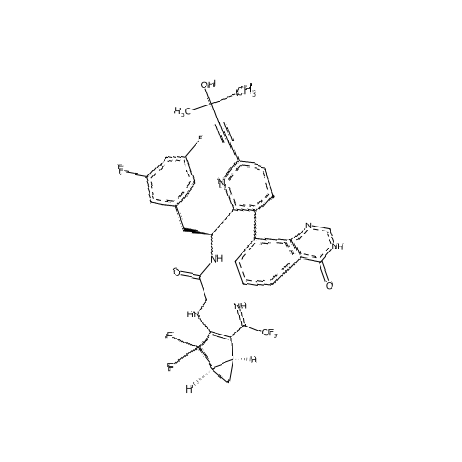 CC(C)(O)C#Cc1ccc(-c2cccc3c(=O)[nH]cnc23)c([C@H](Cc2cc(F)cc(F)c2)NC(=O)CNC2=C(C(=N)C(F)(F)F)[C@H]3C[C@H]3C2(F)F)n1